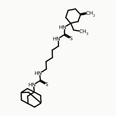 C=C1CCCC(CC)(NC(=S)NCCCCCNC(=S)NC23CC4CC(CC(C4)C2)C3)C1